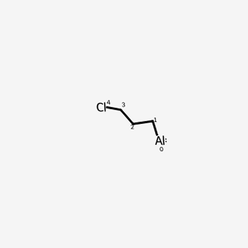 [Al][CH2]CCCl